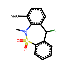 COc1cccc2c1N(C)S(=O)(=O)c1ccccc1C2Cl